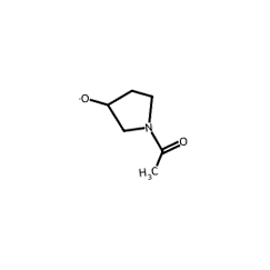 CC(=O)N1CCC([O])C1